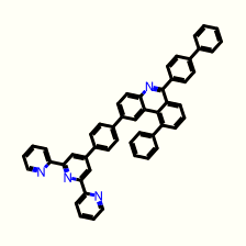 c1ccc(-c2ccc(-c3nc4ccc(-c5ccc(-c6cc(-c7ccccn7)nc(-c7ccccn7)c6)cc5)cc4c4c(-c5ccccc5)cccc34)cc2)cc1